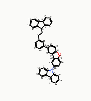 c1cc(CCC2c3ccccc3-c3ccccc32)cc(-c2ccc3oc4ccc(-n5c6ccccc6c6ccccc65)cc4c3c2)c1